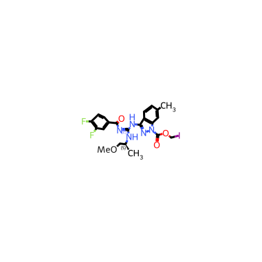 COC[C@H](C)N/C(=N/C(=O)c1ccc(F)c(F)c1)Nc1nn(C(=O)OCI)c2cc(C)ccc12